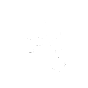 CCCC[P+](CCCC)(CCCC)C1CCCN(c2ccccc2)C1=O.[Br-]